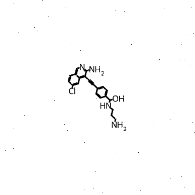 NCCCNC(O)c1ccc(C#Cc2c(N)ncc3ccc(Cl)cc23)cc1